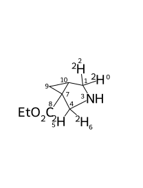 [2H]C1([2H])NC([2H])([2H])C2(C(=O)OCC)CC12